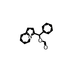 O=COC(c1ccccc1)c1ccc2ccccn12